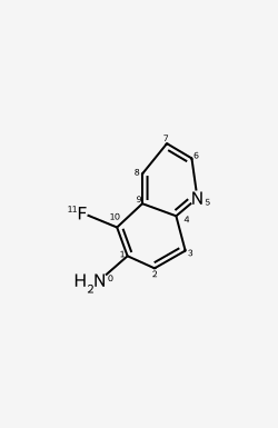 Nc1ccc2ncccc2c1F